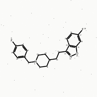 Fc1ccc(CN2CCC(CCc3noc4cc(F)ccc34)CC2)cc1